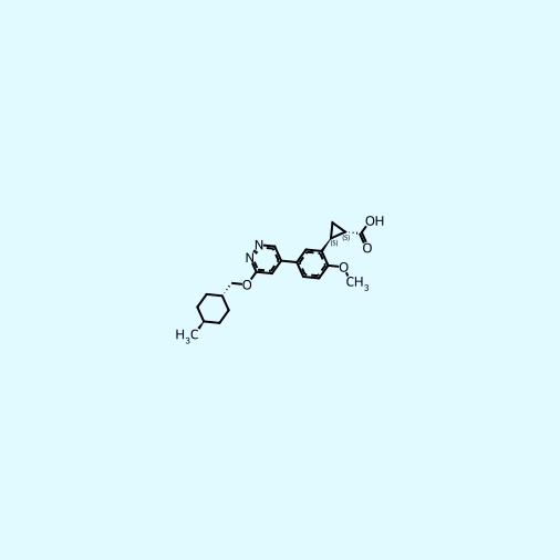 COc1ccc(-c2cnnc(OC[C@H]3CC[C@H](C)CC3)c2)cc1[C@H]1C[C@@H]1C(=O)O